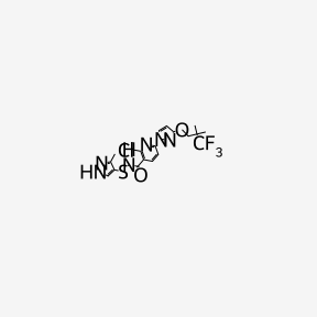 Cc1n[nH]cc1SNC(=O)c1ccc(-n2ccc(OCC(C)(C)C(F)(F)F)n2)nc1Cl